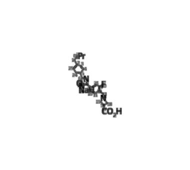 CC(C)Cc1ccc(-c2nc(-c3ccc(CN4CC(C(=O)O)C4)c(F)c3)no2)cc1.[NaH]